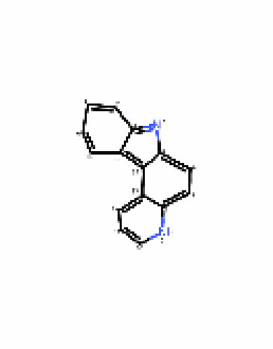 [c]1ccc2nc3ccc4[nH]cccc4c3c2c1